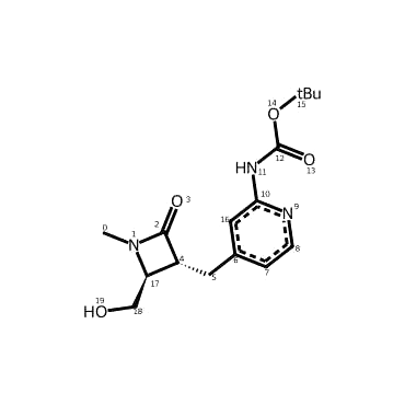 CN1C(=O)[C@H](Cc2ccnc(NC(=O)OC(C)(C)C)c2)[C@H]1CO